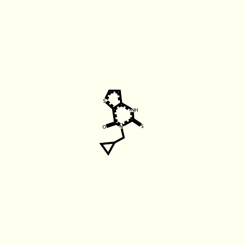 O=c1c2sccc2[nH]c(=S)n1CC1CC1